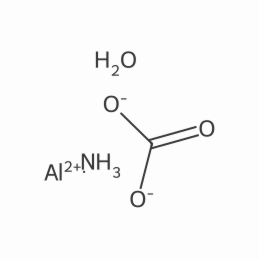 N.O.O=C([O-])[O-].[Al+2]